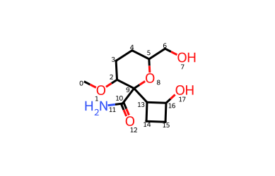 COC1CCC(CO)OC1(C(N)=O)C1CCC1O